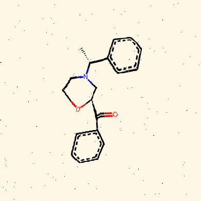 C[C@H](c1ccccc1)N1CCO[C@H](C(=O)c2ccccc2)C1